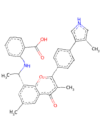 Cc1cc(C(C)Nc2ccccc2C(=O)O)c2oc(-c3ccc(-c4c[nH]cc4C)cc3)c(C)c(=O)c2c1